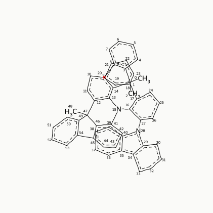 CC1(C)c2ccccc2-c2ccc3c(c21)N(c1c(-c2ccccc2)cccc1-n1c2ccccc2c2ccccc21)c1cccc2c1C3(C)c1ccccc1-2